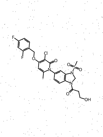 Cc1cc(OCc2ccc(F)cc2F)c(Cl)c(=O)n1-c1ccc2c(c1)N(S(C)(=O)=O)CN2C(=O)CCO